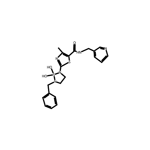 Cc1nc(N2CCN(Cc3ccccc3)S2(O)O)sc1C(=O)NCc1cccnc1